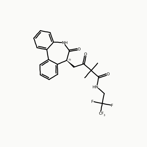 CC(C)(C(=O)C[C@@H]1C(=O)Nc2ccccc2-c2ccccc21)C(=O)NCC(F)(F)C(F)(F)F